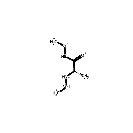 COBC(=O)[C@H](C)NPC